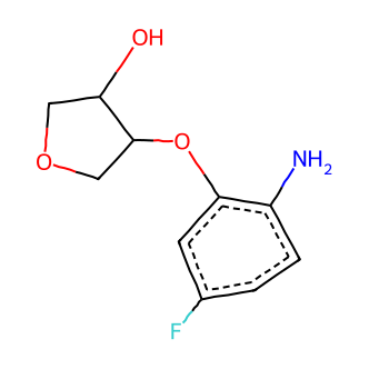 Nc1ccc(F)cc1OC1COCC1O